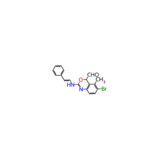 Cc1c(Br)ccc2c1C(C=O)OC(NC=Cc1ccccc1)=N2